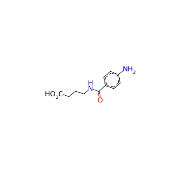 Nc1ccc(C(=O)NCCCC(=O)O)cc1